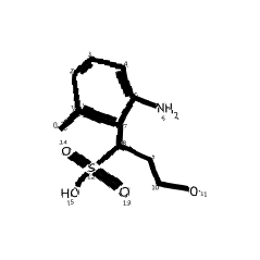 Cc1cccc(N)c1C(CC[O])S(=O)(=O)O